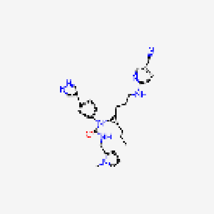 CCCC1C(CCCNc2ccc(C#N)cn2)=C1N(C(=O)NCc1cccn1C)c1ccc(-c2cnn(C)c2)cc1